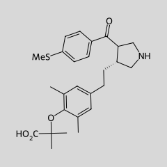 CSc1ccc(C(=O)C2CNC[C@@H]2CCc2cc(C)c(OC(C)(C)C(=O)O)c(C)c2)cc1